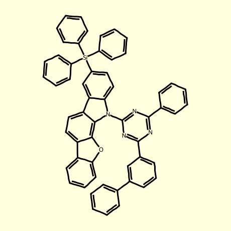 c1ccc(-c2cccc(-c3nc(-c4ccccc4)nc(-n4c5ccc([Si](c6ccccc6)(c6ccccc6)c6ccccc6)cc5c5ccc6c7ccccc7oc6c54)n3)c2)cc1